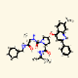 CCCC(NC(=O)[C@@H]1C[C@@H](Oc2cc(-c3ccccc3)nc3cc(OC)ccc23)CN1C(=O)N[C@H](C(=O)NCC1CCCCC1)C(C)C)C(=O)O